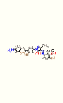 Cc1nn(-c2ccc(C=Cc3ccc(N)cc3S)c(S)c2)c(O)c1N=Nc1ccc(S)c(O)c1C=O